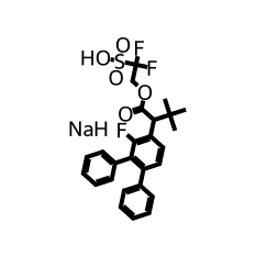 CC(C)(C)C(C(=O)OCC(F)(F)S(=O)(=O)O)c1ccc(-c2ccccc2)c(-c2ccccc2)c1F.[NaH]